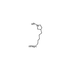 CCCCCCCCCCCCC1CCN(CCC)C1